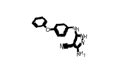 N#Cc1c(N)n[nH]c1Nc1ccc(Oc2ccccc2)cc1